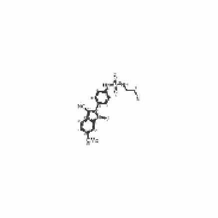 CCn1c(-c2ccc(NS(=O)(=O)NCCCl)cc2)c(C#N)c2ccc(OC)cc21